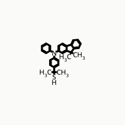 CC(C)(S)c1ccc(N(c2ccccc2)c2ccc3c(c2)C(C)(C)c2ccccc2-3)cc1